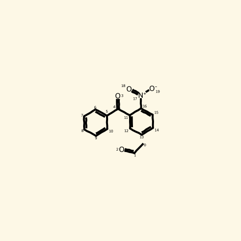 CC=O.O=C(c1ccccc1)c1ccccc1[N+](=O)[O-]